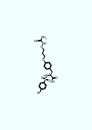 N=C(N)NOCCCOc1ccc(C[C@H](NS(=O)(=O)c2ccc(Br)cc2)C(=O)O)cc1